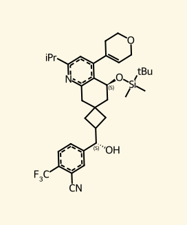 CC(C)c1cc(C2=CCOCC2)c2c(n1)CC1(CC([C@H](O)c3ccc(C(F)(F)F)c(C#N)c3)C1)C[C@@H]2O[Si](C)(C)C(C)(C)C